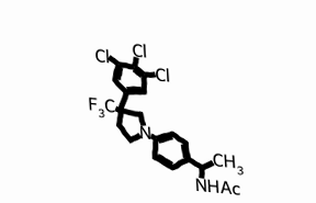 CC(=O)NC(C)c1ccc(N2CCC(c3cc(Cl)c(Cl)c(Cl)c3)(C(F)(F)F)C2)cc1